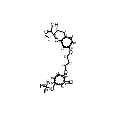 CC[C@]1(C(=O)O)CCc2ccc(OCCCOc3ccc(OC(F)(F)F)cc3Cl)cc2O1